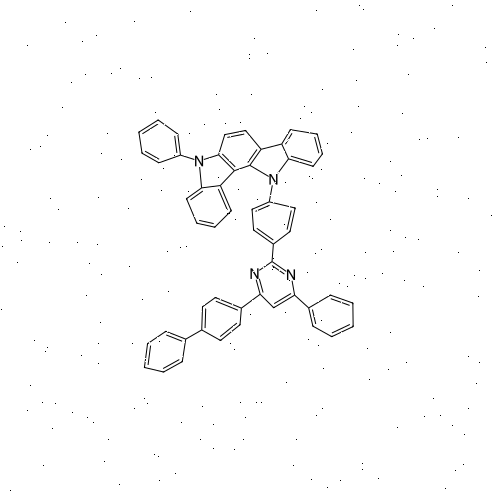 c1ccc(-c2ccc(-c3cc(-c4ccccc4)nc(-c4ccc(-n5c6ccccc6c6ccc7c(c8ccccc8n7-c7ccccc7)c65)cc4)n3)cc2)cc1